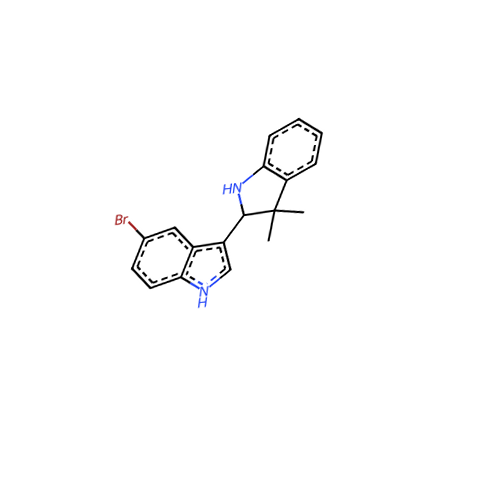 CC1(C)c2ccccc2NC1c1c[nH]c2ccc(Br)cc12